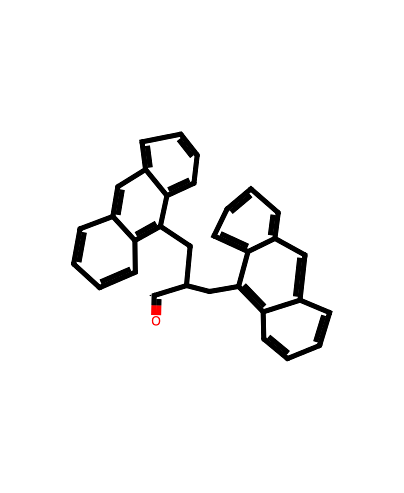 O=[C]C(Cc1c2ccccc2cc2ccccc12)Cc1c2ccccc2cc2ccccc12